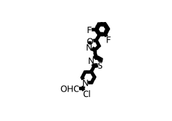 O=CC(Cl)N1CCC(c2nc(C3=NOC(c4c(F)cccc4F)C3)cs2)CC1